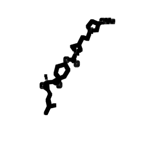 COC1CCN(CCC2CN(C(=O)OC3CCC4(CC3)OC4[C@]3(C)O[C@@H]3CC=C(C)C)C2)C1